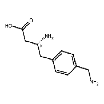 NCc1ccc(C[C@@H](N)CC(=O)O)cc1